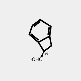 O=[C][C@@H]1Cc2ccccc21